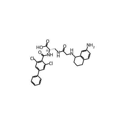 Nc1ccc2c(c1)C(NCC(=O)NC[C@H](NC(=O)c1c(Cl)cc(-c3ccccc3)cc1Cl)C(=O)O)CCC2